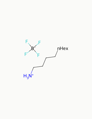 CCCCCCCCCC[NH3+].F[B-](F)(F)F